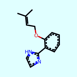 CC(C)=CCOc1ccccc1-c1ncc[nH]1